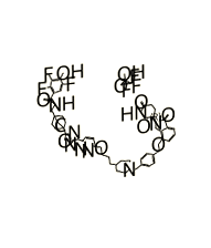 O=C(O)C(F)(F)F.O=C1CC[C@@H](N2Cc3c(OCc4ccc(CN5CCC(CCCOc6ccc(-c7noc(C89CCC(CNC(=O)c%10cc(F)c(O)c(F)c%10F)(CC8)CC9)n7)nn6)CC5)cc4)cccc3C2=O)C(=O)N1